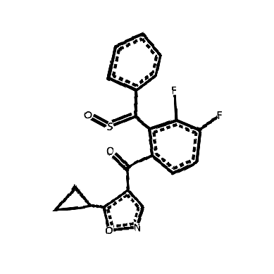 O=S=C(c1ccccc1)c1c(C(=O)c2cnoc2C2CC2)ccc(F)c1F